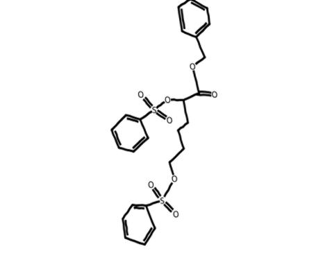 O=C(OCc1ccccc1)C(CCCCOS(=O)(=O)c1ccccc1)OS(=O)(=O)c1ccccc1